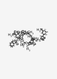 CC[C@H]1OC(=O)[C@H](C)C(=O)[C@H](C)[C@@H](O[C@@H]2OC(CNC(=O)c3cnccn3)CC(N(C)C)C2O)[C@](C)(OC)C[C@@H](C)CN[C@H](C)[C@H]2N(CCCCn3cc(-c4cccc(N)c4)nn3)C(=O)O[C@]12C